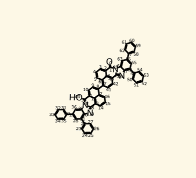 O=c1c2cccc3c(-c4ccc5c6c(cccc46)-c4nc6c(-c7ccccc7)cc(-c7ccccc7)cc6n4C5O)ccc(c32)c2nc3c(-c4ccccc4)cc(-c4ccccc4)cc3n12